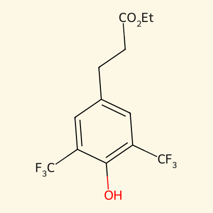 CCOC(=O)CCc1cc(C(F)(F)F)c(O)c(C(F)(F)F)c1